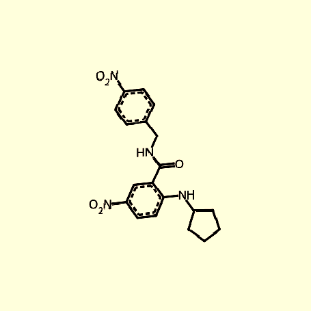 O=C(NCc1ccc([N+](=O)[O-])cc1)c1cc([N+](=O)[O-])ccc1NC1CCCC1